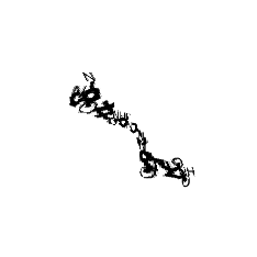 CC1(C)[C@H](NC(=O)c2ccc(N3CCC(CN4CCN(c5ccc6c(c5)CN(C5CCC(=O)NC5=O)C6=O)CC4)CC3)c(F)c2)C(C)(C)[C@H]1Oc1ccc(C#N)c2ncccc12